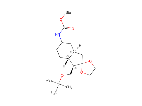 CC(C)(C)OC(=O)NC1CC[C@@H]2[C@@H](C1)CC1(OCCO1)[C@H]2CO[Si](C)(C)C(C)(C)C